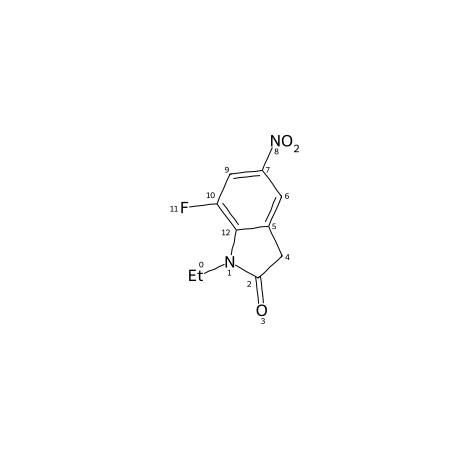 CCN1C(=O)Cc2cc([N+](=O)[O-])cc(F)c21